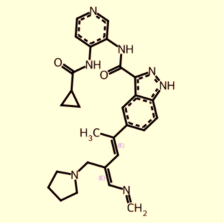 C=N/C=C(\C=C(/C)c1ccc2[nH]nc(C(=O)Nc3cnccc3NC(=O)C3CC3)c2c1)CN1CCCC1